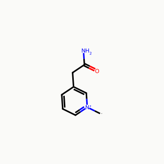 [CH2][n+]1cccc(CC(N)=O)c1